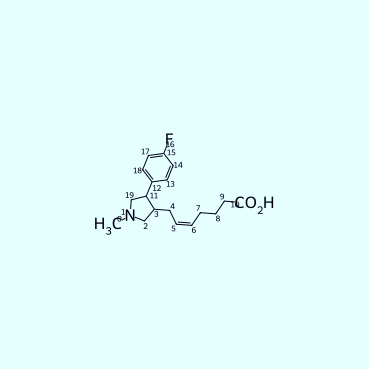 CN1CC(C/C=C\CCCC(=O)O)C(c2ccc(F)cc2)C1